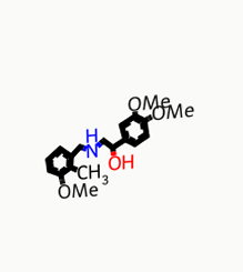 COc1ccc(C(O)CNCc2cccc(OC)c2C)cc1OC